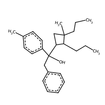 CCCC1C(C(O)(Cc2ccccc2)c2ccc(C)cc2)CC1(C)CCC